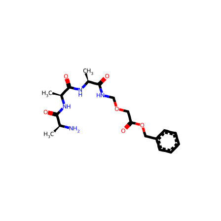 C[C@H](N)C(=O)N[C@@H](C)C(=O)N[C@@H](C)C(=O)NCOCC(=O)OCc1ccccc1